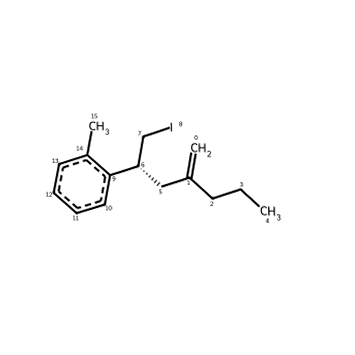 C=C(CCC)C[C@@H](CI)c1ccccc1C